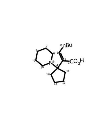 CCCCC=C(C(=O)O)C1(N2CCCCC2)CCCC1